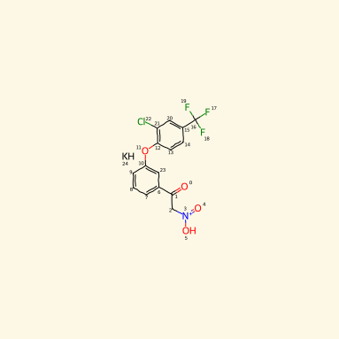 O=C(C[N+](=O)O)c1cccc(Oc2ccc(C(F)(F)F)cc2Cl)c1.[KH]